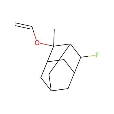 C=COC1(C)C2CC3CC(C2)C(F)C1C3